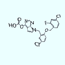 O=C(O)Oc1ncnc2c1ccn2Cc1cc(Cl)ccc1OCc1ccc(Cl)cc1F